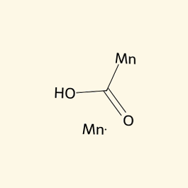 O=[C](O)[Mn].[Mn]